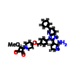 COc1c(N2CCC(OCc3ccc(-n4c(-c5cccnc5N)nc5ccc(-c6ccccc6)nc54)cc3)CC2)c(=O)c1=O